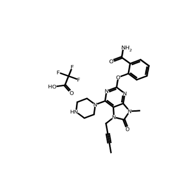 CC#CCn1c(=O)n(C)c2nc(Oc3ccccc3C(N)=O)nc(N3CCNCC3)c21.O=C(O)C(F)(F)F